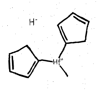 [CH3][Hf+]([C]1=CC=CC1)[C]1=CC=CC1.[H-]